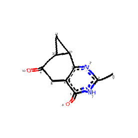 Cc1nc2c(c(=O)[nH]1)CC(=O)C1CC21